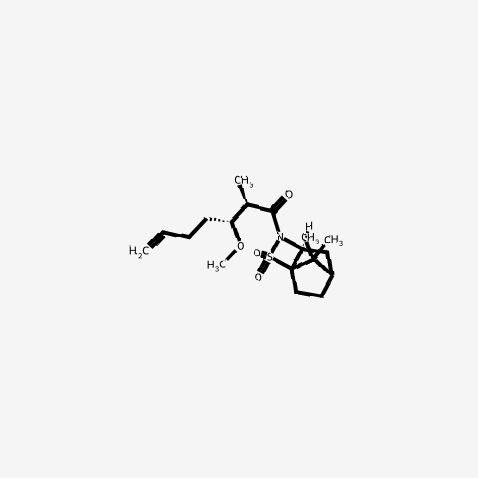 C=CCC[C@@H](OC)[C@@H](C)C(=O)N1[C@H]2CC3CCC2(C3(C)C)S1(=O)=O